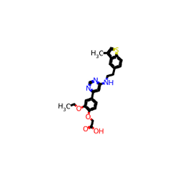 CCOc1cc(-c2cc(NCCc3ccc4scc(C)c4c3)ncn2)ccc1OCC(=O)O